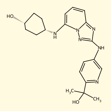 CC(C)(O)c1ccc(Nc2nc3cccc(N[C@H]4CC[C@@H](O)CC4)n3n2)cn1